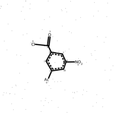 CC(=O)c1cc(C(=O)Cl)cc([N+](=O)[O-])c1